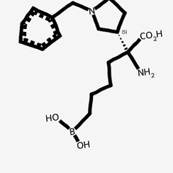 NC(CCCCB(O)O)(C(=O)O)[C@H]1CCN(Cc2ccccc2)C1